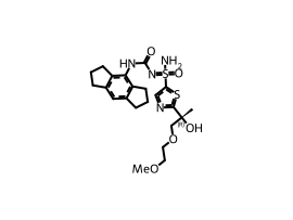 COCCOC[C@@](C)(O)c1ncc(S(N)(=O)=NC(=O)Nc2c3c(cc4c2CCC4)CCC3)s1